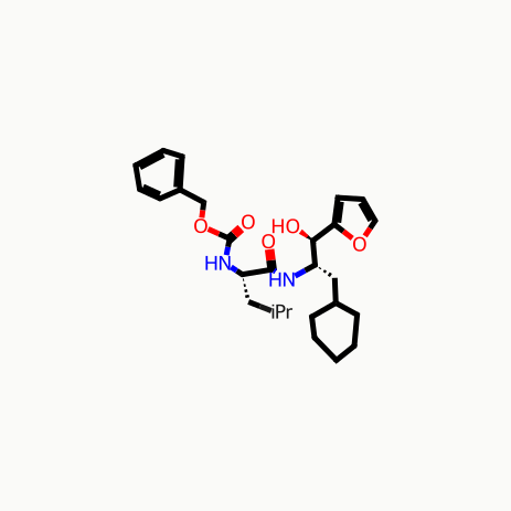 CC(C)C[C@H](NC(=O)OCc1ccccc1)C(=O)N[C@@H](CC1CCCCC1)[C@@H](O)c1ccco1